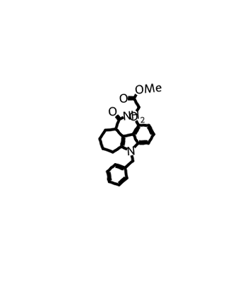 COC(=O)COc1cccc2c1c1c(n2Cc2ccccc2)CCCCC1C(N)=O